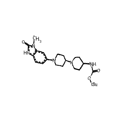 Cn1c(=O)[nH]c2ccc(N3CCC(N4CCC(NC(=O)OC(C)(C)C)CC4)CC3)cc21